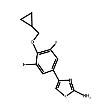 Nc1nc(-c2cc(F)c(OCC3CC3)c(F)c2)cs1